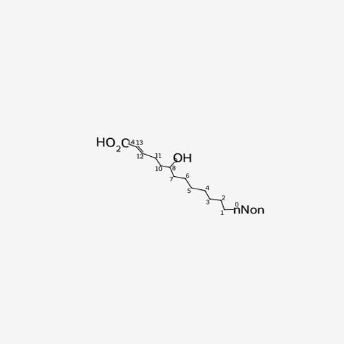 CCCCCCCCCCCCCCCCC(O)CCC=CC(=O)O